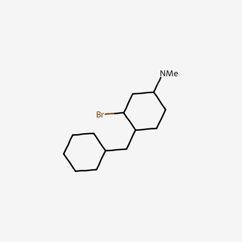 CNC1CCC(CC2CCCCC2)C(Br)C1